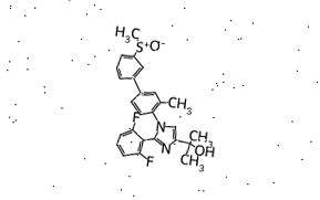 Cc1cc(-c2cccc([S+](C)[O-])c2)ccc1-n1cc(C(C)(C)O)nc1-c1c(F)cccc1F